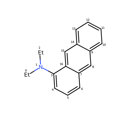 CCN(CC)c1cccc2cc3ccccc3cc12